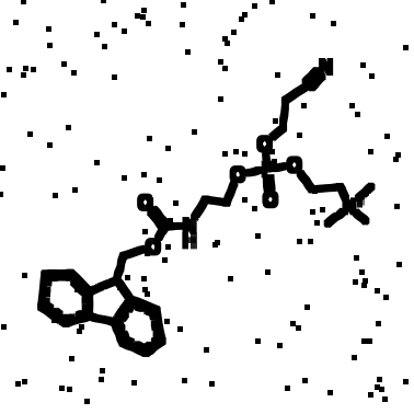 C[N+](C)(C)CCOP(=O)(OCCC#N)OCCNC(=O)OCC1c2ccccc2-c2ccccc21